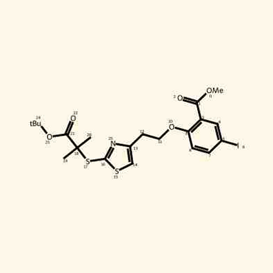 COC(=O)c1cc(I)ccc1OCCc1csc(SC(C)(C)C(=O)OC(C)(C)C)n1